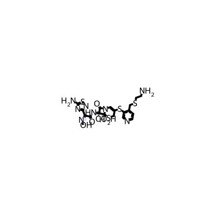 NCCSCc1ccncc1SC1=CN2C(=O)[C@@](NC(=O)/C(=N\O)c3nsc(N)n3)(C(=O)O)[C@@H]2SC1